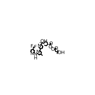 Cc1cc(Nc2cc(C(F)F)ccn2)nc(-c2ccc([C@](C)(O)[C@H]3CC[C@H](C(=O)OCOC(=O)CC(C)(C)O)CC3)nc2)c1